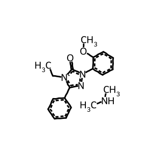 CCn1c(-c2ccccc2)nn(-c2ccccc2OC)c1=O.CNC